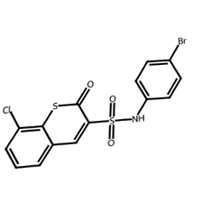 O=c1sc2c(Cl)cccc2cc1S(=O)(=O)Nc1ccc(Br)cc1